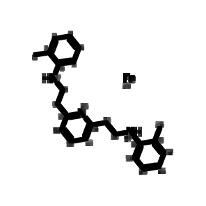 Cc1ccccc1NCCc1cccc(CCNc2ccccc2C)n1.[Fe]